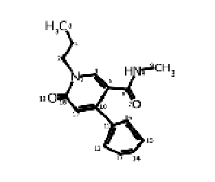 CCCn1cc(C(=O)NC)c(-c2ccccc2)cc1=O